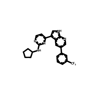 FC(F)(F)c1cccc(-c2cnc3[nH]cc(-c4ccnc(NC5CCCC5)n4)c3c2)c1